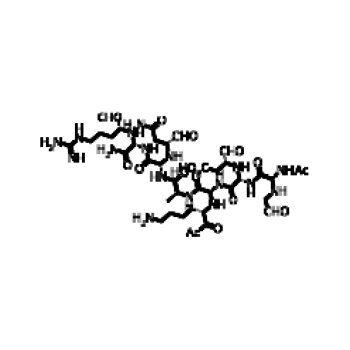 CC(=O)N[C@@H](NCC=O)C(=O)N[C@@H](N[C@@H](C=O)CC(=O)O)C(=O)N[C@@H](N[C@@H](CCCCN)C(=O)C(C)=O)C(=O)N[C@@H](C)C(O)N[C@@H](N[C@@H](C=O)CC(N)=O)C(=O)N[C@@H](N[C@@H](C=O)CCCNC(=N)N)C(N)=O